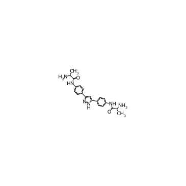 C[C@H](N)C(=O)Nc1ccc(-c2cc(-c3ccc(NC(=O)[C@H](C)N)cc3)[nH]n2)cc1